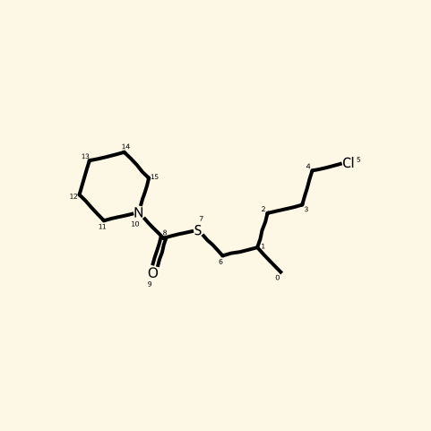 CC(CCCCl)CSC(=O)N1CCCCC1